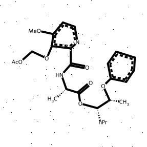 CCC[C@H](OC(=O)[C@H](C)NC(=O)c1nccc(OC)c1OCOC(C)=O)[C@@H](C)Oc1ccccc1